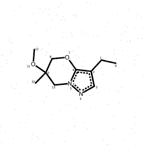 CCc1cnn2c1OCC(C)(OC)C2